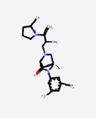 C=C(C(N)CN1C[C@@H]2CC1C(=O)N2c1cc(C(F)(F)F)cc(C(F)(F)F)c1)N1CCCC1C#N